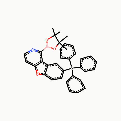 CC1(C)OB(c2nccc3oc4ccc([Si](c5ccccc5)(c5ccccc5)c5ccccc5)cc4c23)OC1(C)C